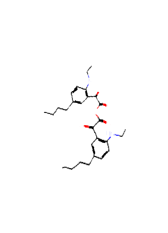 CCCCc1ccc(NCC)c(C(=O)C(=O)OC(=O)C(=O)c2cc(CCCC)ccc2NCC)c1